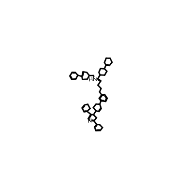 C1=CCCC(C2=CN=C(C3=CC=CCC3)CC2C2C=CC(c3cccc(CCC/C=C(\NCC4CC=C(C5C=CC=CC5)CC4)C4CCC(C5=CCCCC5)CC4)c3)CC2)=C1